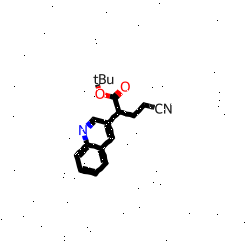 CC(C)(C)OC(=O)C(CCC#N)c1cnc2ccccc2c1